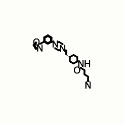 N#CCCCC(=O)N[C@H]1CC[C@H](CCN2CCN(c3cccc(-c4ncco4)c3)CC2)CC1